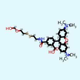 CN(C)c1ccc2c(-c3ccc(C(=O)NCCSSCCOCO)cc3C(=O)O)c3ccc(=[N+](C)C)cc-3oc2c1